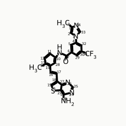 Cc1cn(-c2cc(C(=O)Nc3ccc(C)c(C=Cc4csc5c(N)ncnc45)c3)cc(C(F)(F)F)c2)cn1